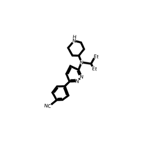 CCC(CC)N(c1ccc(-c2ccc(C#N)cc2)nn1)C1CCNCC1